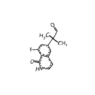 CC(C)(C=O)c1cc(F)c2c(=O)[nH]ccc2c1